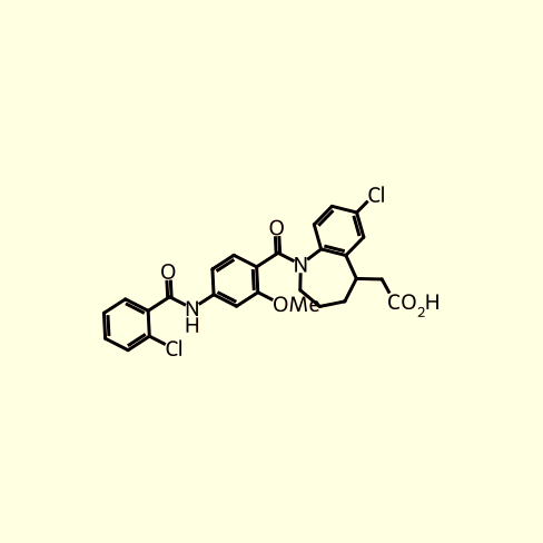 COc1cc(NC(=O)c2ccccc2Cl)ccc1C(=O)N1CCCC(CC(=O)O)c2cc(Cl)ccc21